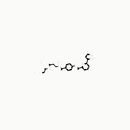 C=CC(=O)NC(=C)CCNC(=O)c1ccc(NC(=O)c2cccc(-c3ccn[nH]3)n2)cc1